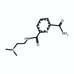 CN(C)CCNC(=O)c1cc[c]c(C(N)=O)n1